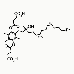 Cc1c(C)c(OC(=O)CCC(=O)O)c(CC[C@](C)(O)CCC[C@H](C)CCC[C@H](C)CCCC(C)C)c(C)c1OC(=O)CCC(=O)O